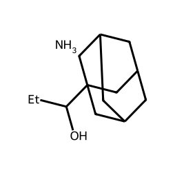 CCC(O)C12CC3CC(CC(C3)C1)C2.N